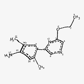 CCOc1cncc(-c2cc(C)c(N)cc2C)n1